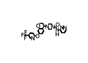 O=C(Nc1cccnn1)N1CCN(C2CCOc3cc(Oc4ccc(C(F)(F)F)cn4)ccc32)CC1